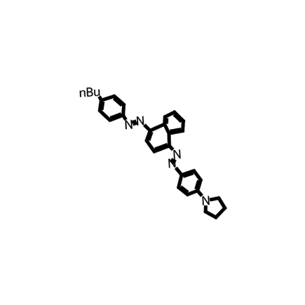 CCCCc1ccc(N=Nc2ccc(N=Nc3ccc(N4CCCC4)cc3)c3ccccc23)cc1